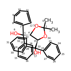 CC1(C)O[C@@H](C(O)(c2ccccc2)c2ccccc2)[C@H](C(O)(c2ccccc2)c2ccccc2)O1